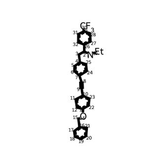 CC[N]C(Cc1ccc(C#Cc2ccc(OCc3ccccc3)cc2)cc1)c1ccc(C(F)(F)F)cc1